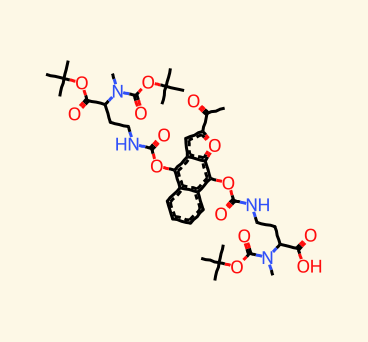 CC(=O)c1cc2c(OC(=O)NCCC(C(=O)OC(C)(C)C)N(C)C(=O)OC(C)(C)C)c3ccccc3c(OC(=O)NCCC(C(=O)O)N(C)C(=O)OC(C)(C)C)c2o1